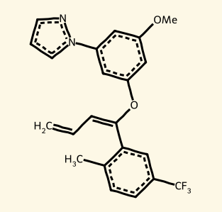 C=C/C=C(/Oc1cc(OC)cc(-n2cccn2)c1)c1cc(C(F)(F)F)ccc1C